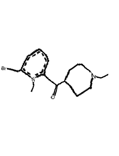 CN1CCC(C(=O)c2cccc(Br)[n+]2C)CC1